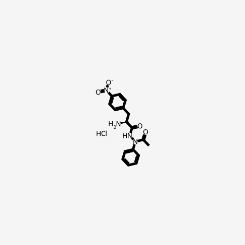 CC(=O)N(NC(=O)[C@@H](N)Cc1ccc([N+](=O)[O-])cc1)c1ccccc1.Cl